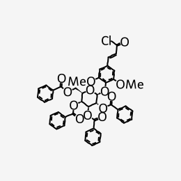 COc1cc(/C=C/C(=O)Cl)cc(OC)c1O[C@@H]1O[C@H](COC(=O)c2ccccc2)[C@H](OC(=O)c2ccccc2)[C@H](OC(=O)c2ccccc2)[C@H]1OC(=O)c1ccccc1